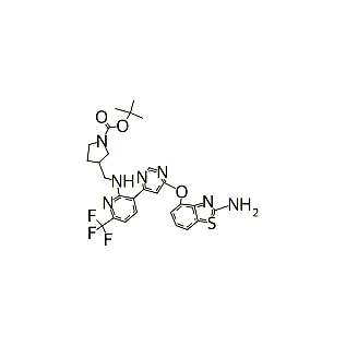 CC(C)(C)OC(=O)N1CCC(CNc2nc(C(F)(F)F)ccc2-c2cc(Oc3cccc4sc(N)nc34)ncn2)C1